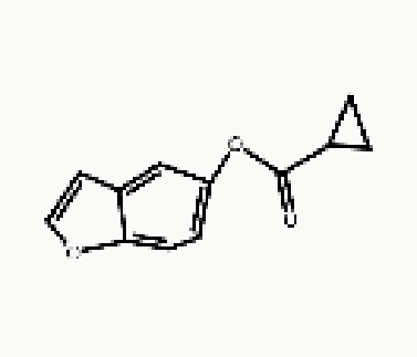 O=C(Oc1ccc2occc2c1)C1CC1